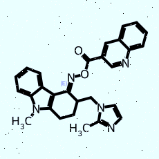 Cc1nccn1CC1CCc2c(c3ccccc3n2C)/C1=N/OC(=O)c1cnc2ccccc2c1